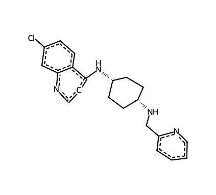 Clc1ccc2c(N[C@H]3CC[C@@H](NCc4ccccn4)CC3)ccnc2c1